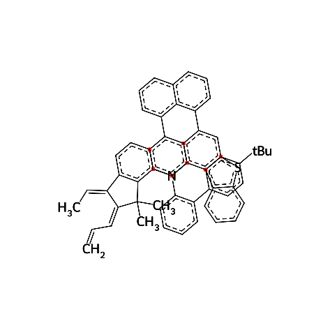 C=C/C=C1\C(=C/C)c2cccc(N(c3ccccc3-c3ccc(C(C)(C)C)cc3)c3cc(-c4cccc5cccc(-c6ccccc6)c45)cc4sc5ccccc5c34)c2C1(C)C